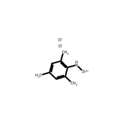 Cc1cc(C)c([NH][Zr+2])c(C)c1.[Cl-].[Cl-]